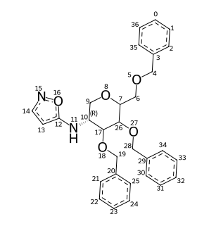 c1ccc(COCC2OC[C@@H](Nc3ccno3)C(OCc3ccccc3)C2OCc2ccccc2)cc1